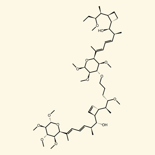 CC[C@H](OC)[C@@H](C)[C@H]1CC[C@@H]1[C@H](O)[C@@H](C)/C=C/C=C(\C)[C@@H]1O[C@H](OC)[C@H](OC)[C@@H](OCCC[C@H](OC)[C@@H](C)[C@H]2C=C[C@@H]2[C@H](O)[C@@H](C)/C=C/C=C(\C)[C@@H]2O[C@@H](OC)[C@H](OC)[C@@H](OC)[C@@H]2OC)[C@@H]1OC